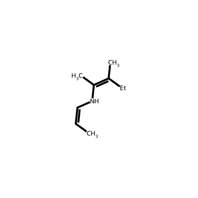 C/C=C\N/C(C)=C(/C)CC